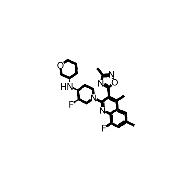 Cc1cc(F)c2nc(N3CC[C@H](N[C@H]4CCCOC4)[C@H](F)C3)c(-c3nc(C)no3)c(C)c2c1